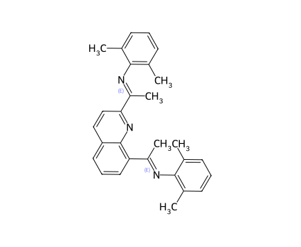 C/C(=N\c1c(C)cccc1C)c1ccc2cccc(/C(C)=N/c3c(C)cccc3C)c2n1